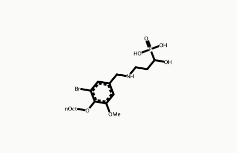 CCCCCCCCOc1c(Br)cc(CNCCC(O)P(=O)(O)O)cc1OC